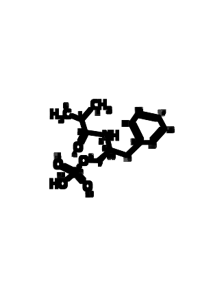 CC(C)C(=O)N[C@H](COS(=O)(=O)O)Cc1ccccc1